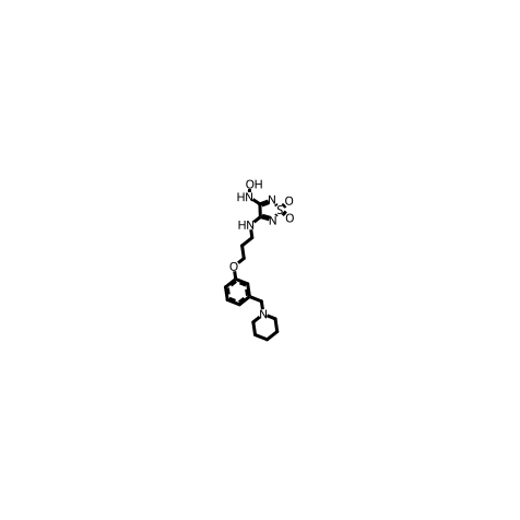 O=S1(=O)N=C(NO)C(NCCCOc2cccc(CN3CCCCC3)c2)=N1